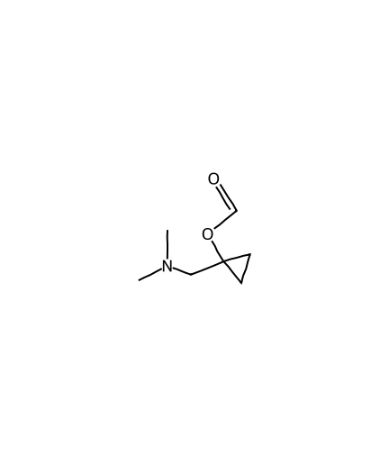 CN(C)CC1(OC=O)CC1